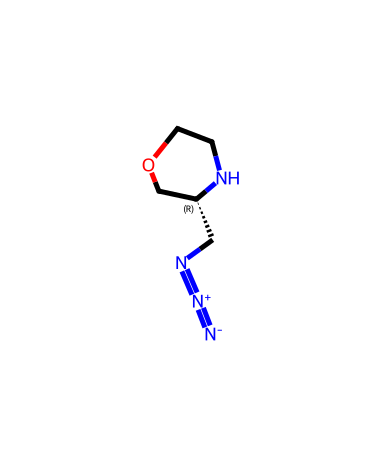 [N-]=[N+]=NC[C@@H]1COCCN1